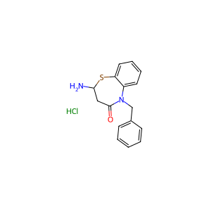 Cl.NC1CC(=O)N(Cc2ccccc2)c2ccccc2S1